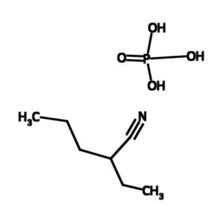 CCCC(C#N)CC.O=P(O)(O)O